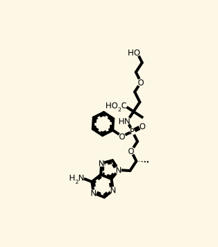 C[C@H](Cn1cnc2c(N)ncnc21)OCP(=O)(NC(C)(CCOCCO)C(=O)O)Oc1ccccc1